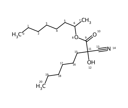 CCCCCCC(C)OC(=O)C(O)(C#N)CCCCCC